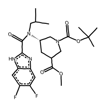 COC(=O)C1C[C@H](N(CC(C)C)C(=O)c2nc3cc(F)c(F)cc3[nH]2)CN(C(=O)OC(C)(C)C)C1